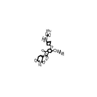 COc1cc2c(cc1OC1CC(NC(=O)OC(C)(C)C)C1)C(=O)N([C@@H]1CCC(=O)NC1=O)C2=O